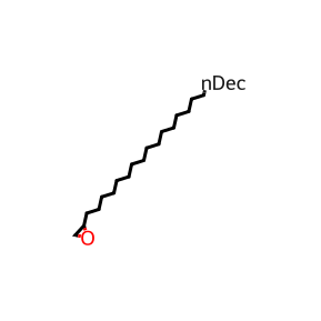 CCCCCCCCCCCCCCCCCCCCCCCCCCC1CO1